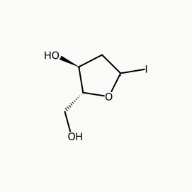 OC[C@H]1O[C](I)C[C@@H]1O